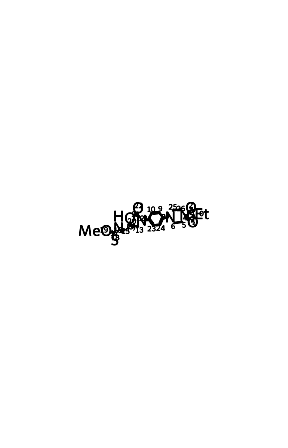 CCS(=O)(=O)N1CCN(c2ccc(N3C[C@H](CNC(=S)OC)OC3=O)cc2)CC1